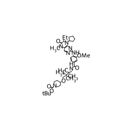 CCC1C(=O)N(C)c2cnc(Nc3ccc(C(=O)NCC(C)(C)C(C)(C)COC4CCN(C(=O)OC(C)(C)C)CC4)cc3OC)nc2N1C1CCCC1